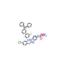 Clc1ccc(Cc2nc3ccccc3[nH]2)cc1.Fc1ccccc1.NC(N)=O.[OH-].c1cc[c]([Sn+]([c]2ccccc2)[c]2ccccc2)cc1